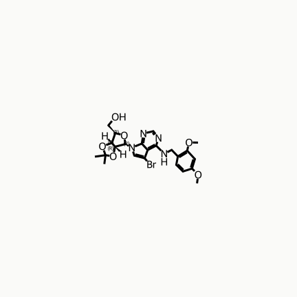 COc1ccc(CNc2ncnc3c2c(Br)cn3[C@@H]2O[C@H](CO)[C@H]3OC(C)(C)O[C@H]32)c(OC)c1